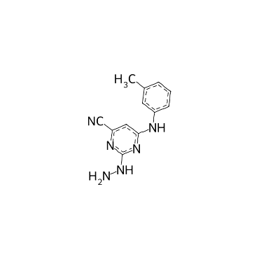 Cc1cccc(Nc2cc(C#N)nc(NN)n2)c1